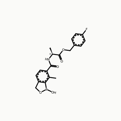 Cc1c(C(=O)N[C@@H](C)C(=O)OCc2ccc(F)cc2)ccc2c1B(O)OC2